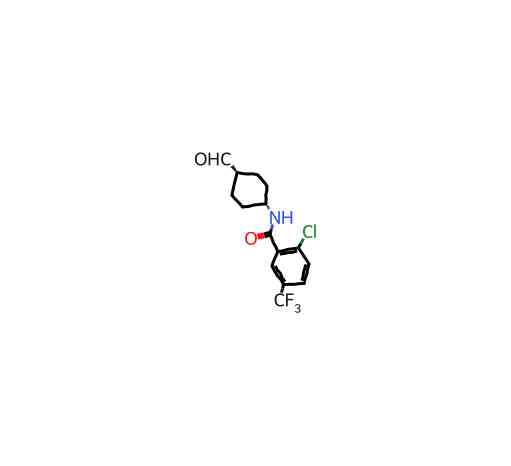 O=C[C@H]1CC[C@H](NC(=O)c2cc(C(F)(F)F)ccc2Cl)CC1